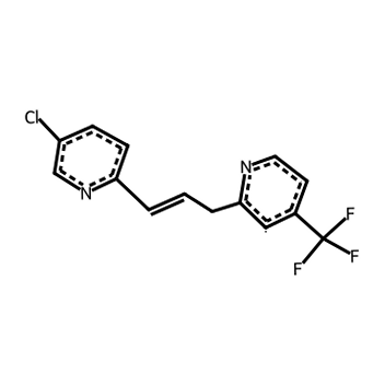 FC(F)(F)c1[c]c(CC=Cc2ccc(Cl)cn2)ncc1